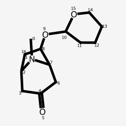 CN1C2CC(=O)CC1C(OC1CCCCO1)C2